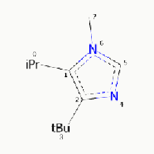 CC(C)c1c(C(C)(C)C)ncn1C